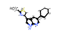 O=C(O)C1=NC(c2c[nH]c3ncc(C4CCCCC4)cc23)CS1